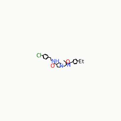 CCc1ccc(-c2nc(CN3CCC(C(=O)NCCc4ccc(Cl)cc4)CC3)c(C)o2)cc1